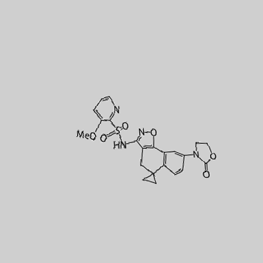 COc1cccnc1S(=O)(=O)Nc1noc2c1CC1(CC1)c1ccc(N3CCOC3=O)cc1-2